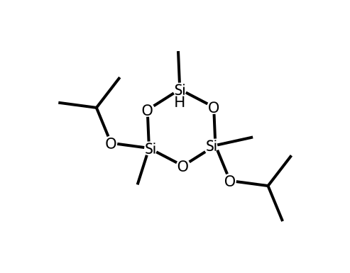 CC(C)O[Si]1(C)O[SiH](C)O[Si](C)(OC(C)C)O1